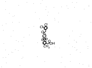 Cc1ccc(S(=O)(=O)N2CCN(C(=O)Cc3ccc(Cl)c(Cl)c3)CC2)cc1CC(=O)O